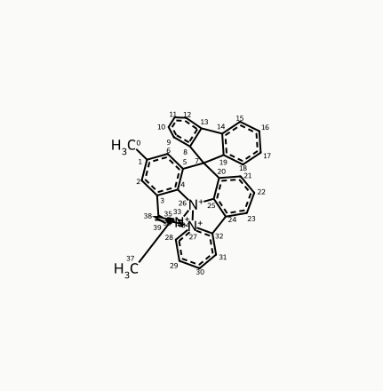 Cc1cc2c3c(c1)C1(c4ccccc4-c4ccccc41)c1cccc4c1[N+]3([n+]1ccccc1-4)[n+]1ccc(C)cc1-2